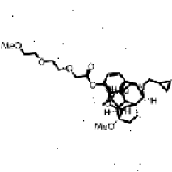 COCCOCCOCC(=O)Oc1ccc2c3c1O[C@H]1[C@]4(OC)CC[C@@]5(C[C@@H]4[C@](C)(O)C(C)(C)C)[C@@H](C2)N(CC2CC2)CC[C@]315